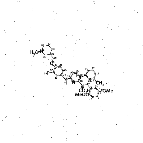 COc1ccc(OC)c(C(c2c(C)cccc2C)N(C(=O)O)c2ccnc(Nc3ccc(OCC4CCCN(C)C4)c(F)c3)n2)c1